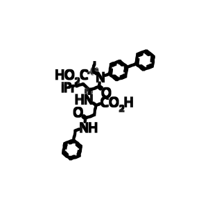 CC(C)C[C@H](NC(CC(=O)NCc1ccccc1)C(=O)O)C(=O)N(c1ccc(-c2ccccc2)cc1)[C@@H](C)C(=O)O